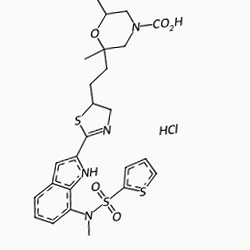 CC1CN(C(=O)O)CC(C)(CCC2CN=C(c3cc4cccc(N(C)S(=O)(=O)c5cccs5)c4[nH]3)S2)O1.Cl